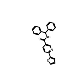 O=C(NC(c1ccccc1)c1ccccc1)c1ccc(-c2cccs2)nc1